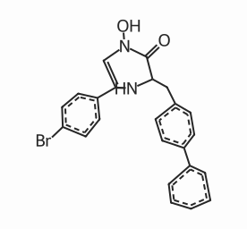 O=C1C(Cc2ccc(-c3ccccc3)cc2)NC(c2ccc(Br)cc2)=CN1O